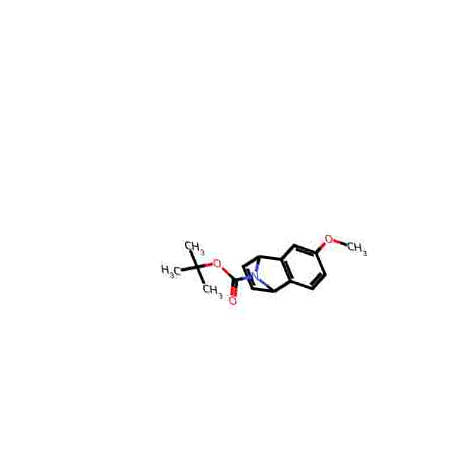 COc1ccc2c(c1)C1C=CC2N1C(=O)OC(C)(C)C